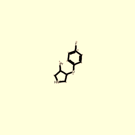 CC(C)C1CNCC1Oc1ccc(F)cc1